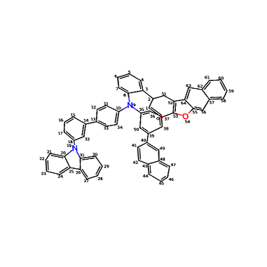 C1=CC(c2ccccc2N(c2ccc(-c3cccc(-n4c5ccccc5c5ccccc54)c3)cc2)c2cccc(-c3ccc4ccccc4c3)c2)Cc2c1oc1cc3ccccc3cc21